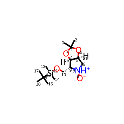 CC1(C)O[C@H]2[C@H](C[NH+]([O-])[C@@H]2CO[Si](C)(C)C(C)(C)C)O1